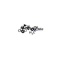 C/C=C(/C(=O)OC)c1ccc(N2CCN(C(C)Cc3c(-c4c(Cl)cccc4Cl)noc3C3CC3)CC2)cc1C